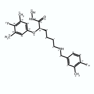 Cc1cc(CNCCCC[C@@H](Oc2cc(C)c(F)c(C)c2)C(=O)NO)ccc1F